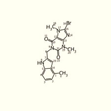 Cc1cccc2[nH]c(Cn3c(=O)c4c(nc(Br)n4C)n(C)c3=O)cc12